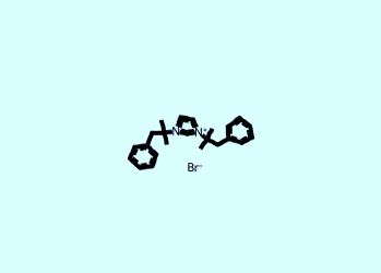 CC(C)(Cc1ccccc1)n1cc[n+](C(C)(C)Cc2ccccc2)c1.[Br-]